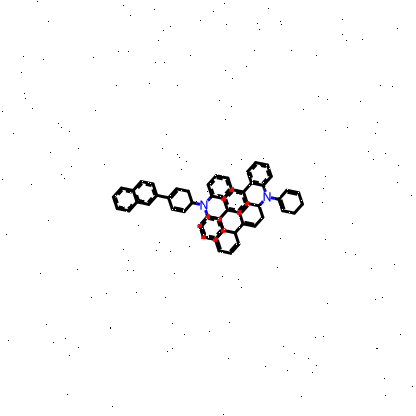 C1=CC(C2=CCC(N(C3=CCCC=C3)c3ccccc3-c3ccc(-c4ccccc4N(c4ccccc4)C4C=CC(c5ccc6ccccc6c5)=CC4)cc3)C=C2)C2CCC=CC2=C1